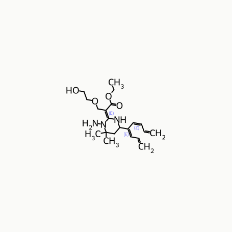 C=C/C=C\C(=C/C=C)C1CC(C)(C)N(N)/C(=C(\COCCO)C(=O)OCC)N1